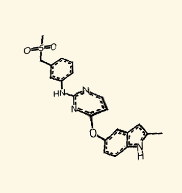 Cc1cc2cc(Oc3ccnc(Nc4cccc(CS(C)(=O)=O)c4)n3)ccc2[nH]1